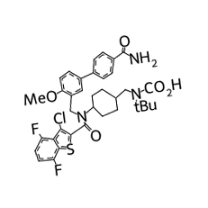 COc1ccc(-c2ccc(C(N)=O)cc2)cc1CN(C(=O)c1sc2c(F)ccc(F)c2c1Cl)C1CCC(CN(C(=O)O)C(C)(C)C)CC1